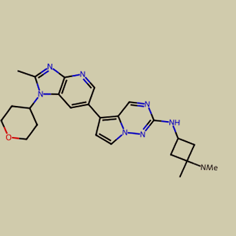 CNC1(C)CC(Nc2ncc3c(-c4cnc5nc(C)n(C6CCOCC6)c5c4)ccn3n2)C1